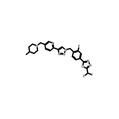 CC1CCN(Cc2ccc(-c3cn(Cc4ccc(-c5nnc(C(F)F)o5)cc4F)nn3)nc2)CC1